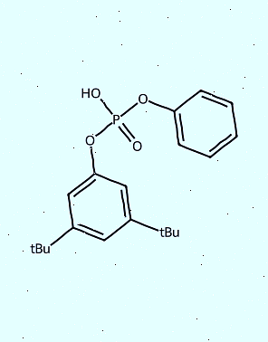 CC(C)(C)c1cc(OP(=O)(O)Oc2ccccc2)cc(C(C)(C)C)c1